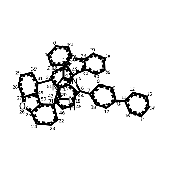 c1ccc(C2=NC(c3ccc(-c4ccccc4)cc3)NC(c3cccc4oc5cccc(-c6cc7oc8ccccc8c7c7ccccc67)c5c34)=N2)cc1